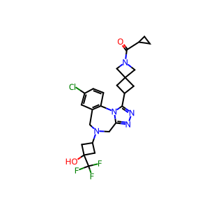 O=C(C1CC1)N1CC2(CC(c3nnc4n3-c3ccc(Cl)cc3CN(C3CC(O)(C(F)(F)F)C3)C4)C2)C1